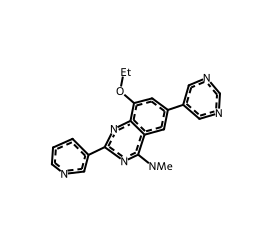 CCOc1cc(-c2cncnc2)cc2c(NC)nc(-c3cccnc3)nc12